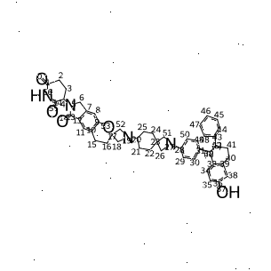 O=C1CCC(N2Cc3cc4c(cc3C2=O)CCC2(CN(C3CCC5(CC3)CN(c3ccc([C@@H]6c7ccc(O)cc7CC[C@@H]6c6ccccc6)cc3)C5)C2)O4)C(=O)N1